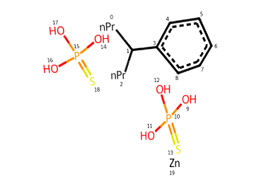 CCCC(CCC)c1ccccc1.OP(O)(O)=S.OP(O)(O)=S.[Zn]